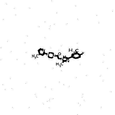 Cc1ccnc(N2CCN(C(=O)Cn3nc(-c4ccc(F)c(C)c4)nc3C)CC2)c1